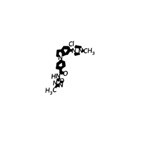 Cc1noc(NC(=O)c2ccc(N3CCc4cc(Cl)c(N5CCN(C)CC5)cc43)cc2)n1